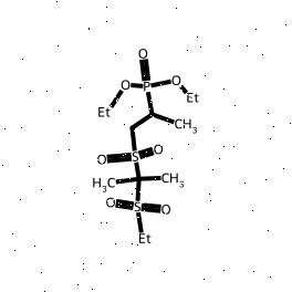 CCOP(=O)(OCC)C(C)CS(=O)(=O)C(C)(C)S(=O)(=O)CC